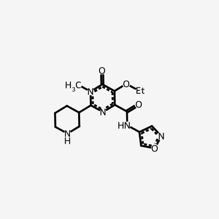 CCOc1c(C(=O)Nc2cnoc2)nc(C2CCCNC2)n(C)c1=O